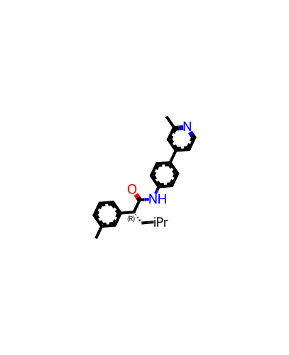 Cc1cccc([C@@H](CC(C)C)C(=O)Nc2ccc(-c3ccnc(C)c3)cc2)c1